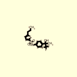 CCCc1ccc(S(=O)(=O)Nc2ccc(C(C)(O)C(F)(F)F)cc2)s1